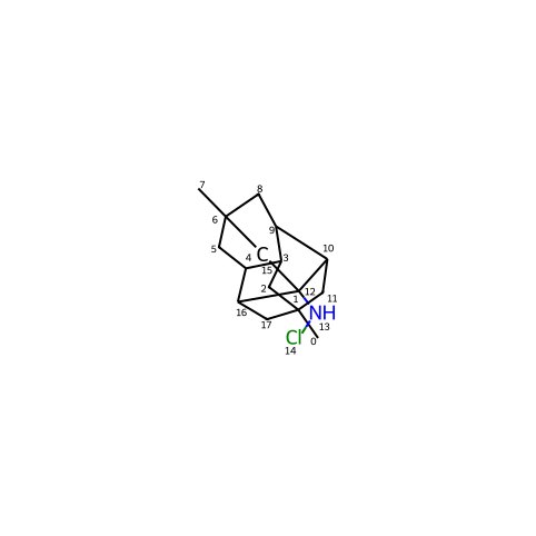 CC12CC3C4CC5(C)CC3C(C1)C(NCl)(C5)C4C2